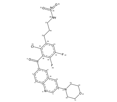 O=C(c1ccc2ncc(N3CCOCC3)cc2c1)c1c(F)c(F)cc(CCCN[SH](=O)=O)c1Cl